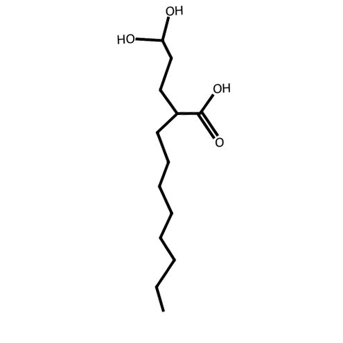 CCCCCCCCC(CCC(O)O)C(=O)O